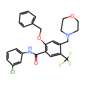 O=C(Nc1cccc(Cl)c1)c1cc(C(F)(F)F)c(CN2CCOCC2)cc1OCc1ccccc1